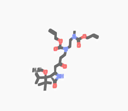 C=CCOC(=O)N(C)CCN(CCC(=O)C[C@H]1NC(=O)[C@@H]1[C@](O[SiH3])(C(C)C)C(C)(C)C)C(=O)OCC=C